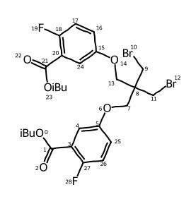 CC(C)COC(=O)c1cc(OCC(CBr)(CBr)COc2ccc(F)c(C(=O)OCC(C)C)c2)ccc1F